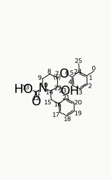 Cc1cccc(O[C@H]2CCN(C(=O)O)C(Cc3ccccc3)C2O)c1C